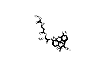 Cc1ccc2c3c1O[C@H]1C(OC(=O)[C@H](C)OC(=O)CCNC(=O)OC(C)(C)C)=CC[C@@]4(O)[C@@H](C2)N(C)CC[C@]314